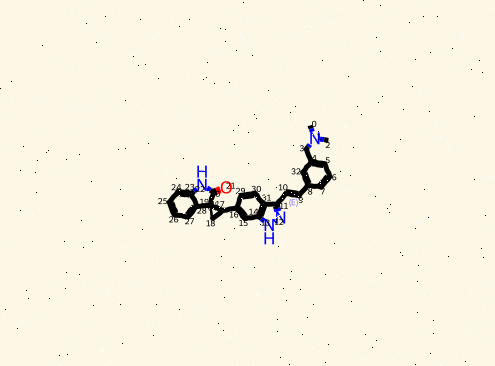 CN(C)Cc1cccc(/C=C/c2n[nH]c3cc(C4C[C@@]45C(=O)Nc4ccccc45)ccc23)c1